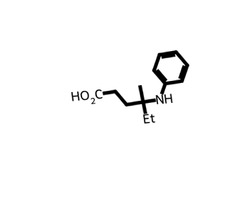 CCC(C)(CCC(=O)O)Nc1ccccc1